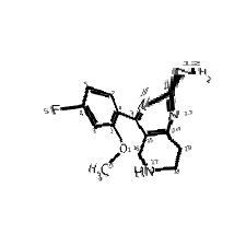 COc1cc(F)ccc1-c1nc(N)nc2c1CNCC2